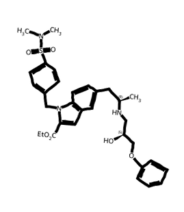 CCOC(=O)c1cc2cc(C[C@@H](C)NC[C@H](O)COc3ccccc3)ccc2n1Cc1ccc(S(=O)(=O)N(C)C)cc1